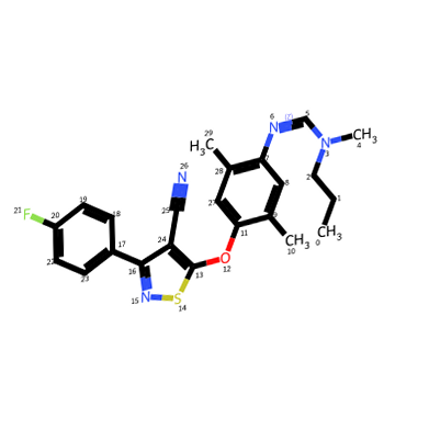 CCCN(C)/C=N\c1cc(C)c(Oc2snc(-c3ccc(F)cc3)c2C#N)cc1C